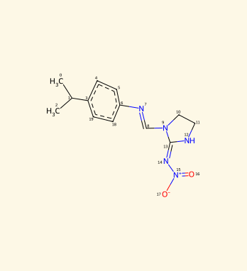 CC(C)c1ccc(N=CN2CCNC2=N[N+](=O)[O-])cc1